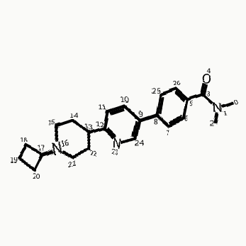 CN(C)C(=O)c1ccc(-c2ccc(C3CCN(C4CCC4)CC3)nc2)cc1